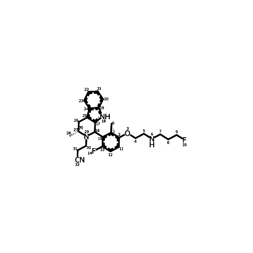 Cc1c(OCCNCCCF)ccc(F)c1C1c2[nH]c3ccccc3c2C[C@@H](C)N1CCC#N